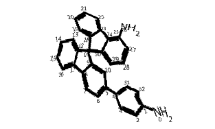 Nc1ccc(-c2ccc3c(c2)C2(c4ccccc4-3)c3ccccc3-c3c(N)cccc32)cc1